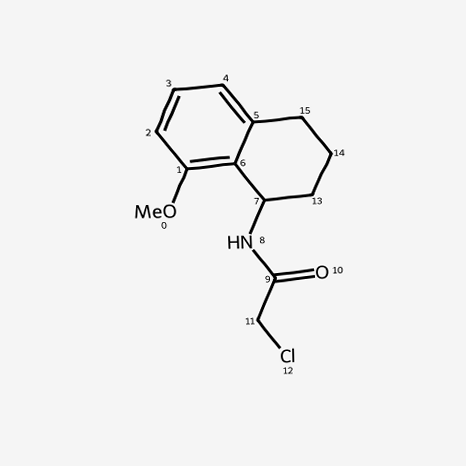 COc1cccc2c1C(NC(=O)CCl)CCC2